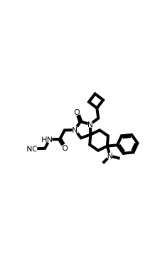 CN(C)C1(c2ccccc2)CCC2(CC1)CN(CC(=O)NCC#N)C(=O)N2CC1CCC1